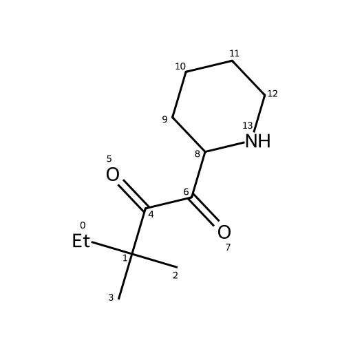 CCC(C)(C)C(=O)C(=O)C1CCCCN1